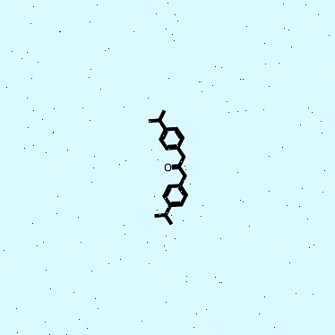 CC(C)c1ccc(CC(=O)Cc2ccc(C(C)C)cc2)cc1